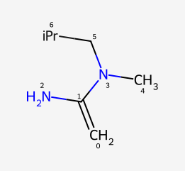 C=C(N)N(C)CC(C)C